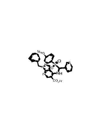 COc1ccc(S(=O)(=O)C(Nc2c(C(=O)O)cnc3c2cnn3Cc2ccccc2)c2cccnc2)cc1